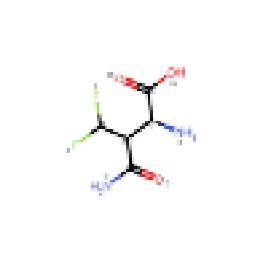 NC(=O)C(C(F)F)[C@H](N)C(=O)O